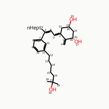 C=C1C(=CC=C(CCCCCCC)c2cccc(CCCCCC(C)(C)O)c2)C[C@@H](O)C[C@@H]1O